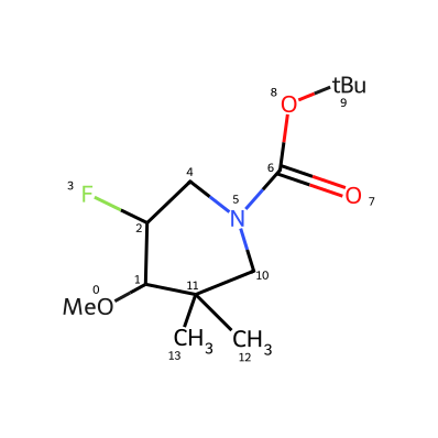 COC1C(F)CN(C(=O)OC(C)(C)C)CC1(C)C